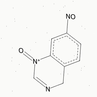 O=Nc1ccc2c(c1)[N+](=O)C=NC2